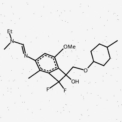 CCN(C)/C=N/c1cc(OC)c2c(c1C)C(F)(F)C2(O)COC1CCC(C)CC1